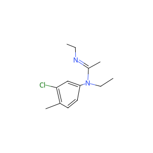 CCN=C(C)N(CC)c1ccc(C)c(Cl)c1